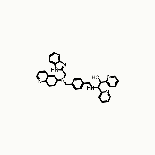 OC(c1ccccn1)C(NCc1ccc(CN(Cc2nc3ccccc3[nH]2)C2C=C3C=CC=NC3CC2)cc1)c1ccccn1